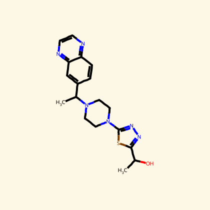 CC(O)c1nnc(N2CCN(C(C)c3ccc4nccnc4c3)CC2)s1